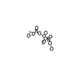 CC1(C)c2ccccc2-c2ccc(N(c3ccccc3)c3ccc(-c4cc5c6ccccc6c6c(c7ccccc7n6-c6ccc(-c7ccccc7)cc6)c5c5ccccc45)cc3)cc21